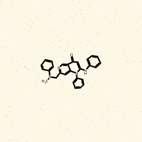 CN(Cc1cc2c(cn1)c(=O)cc(Nc1ccccc1)n2-c1ccccc1)c1ccccc1